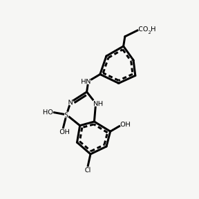 O=C(O)Cc1cccc(NC2=NS(O)(O)c3cc(Cl)cc(O)c3N2)c1